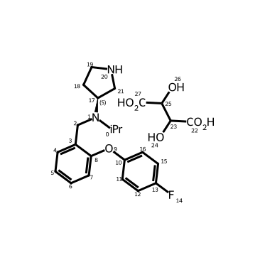 CC(C)N(Cc1ccccc1Oc1ccc(F)cc1)[C@H]1CCNC1.O=C(O)C(O)C(O)C(=O)O